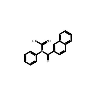 N=C(N)N(C(=O)c1ccc2ccccc2c1)c1ccccc1